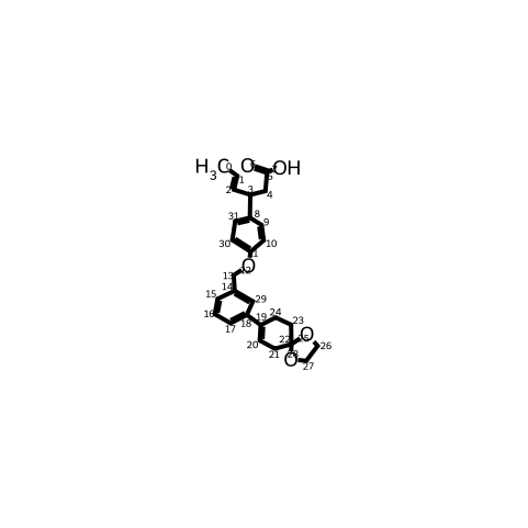 CC=CC(CC(=O)O)c1ccc(OCc2cccc(C3=CCC4(CC3)OCCO4)c2)cc1